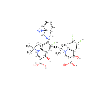 CC(C)(C)n1cc(C(=O)O)c(=O)c2cc(F)c(F)cc21.CC(C)(C)n1cc(C(=O)O)c(=O)c2cc(F)c(N3CC4C=CC=CC4(N)C3)cc21